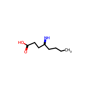 CCCCC(=N)CCC(=O)O